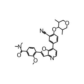 COc1cc(C(=O)N(C)C)ccc1-c1cc2nccc(-c3ccc(OC4C(C)COCC4C)c(C#N)c3)c2o1